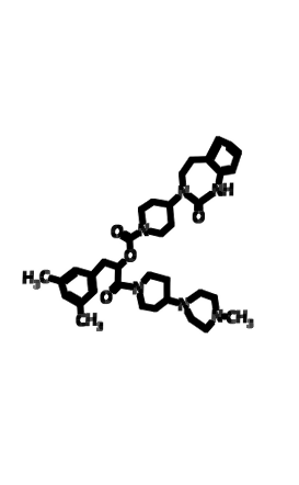 Cc1cc(C)cc(CC(OC(=O)N2CCC(N3CCc4ccccc4NC3=O)CC2)C(=O)N2CCC(N3CCN(C)CC3)CC2)c1